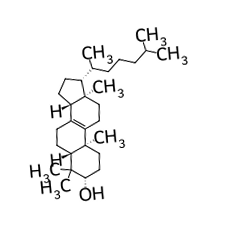 CC(C)CCCC(C)[C@H]1CC[C@H]2C3=C(CC[C@]12C)[C@@]1(C)CC[C@H](O)C(C)(C)[C@@H]1CC3